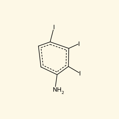 Nc1ccc(I)c(I)c1I